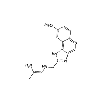 COc1ccc2ncc3nc(CN/C=C(/C)N)[nH]c3c2c1